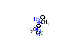 CN(c1ccc2c(c1)nc(NC1CCCCC1)n2C)c1ccnc(Cl)n1